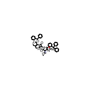 CO/N=C(\C(=O)NC1C(=O)N2C(C(=O)OC(c3ccccc3)c3ccccc3)=C(CI)CS[C@H]12)c1csc(NC(c2ccccc2)(c2ccccc2)c2ccccc2)n1